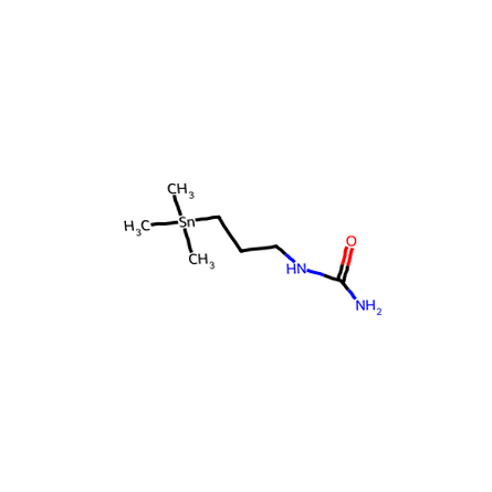 [CH3][Sn]([CH3])([CH3])[CH2]CCNC(N)=O